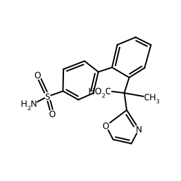 CC(C(=O)O)(c1ncco1)c1ccccc1-c1ccc(S(N)(=O)=O)cc1